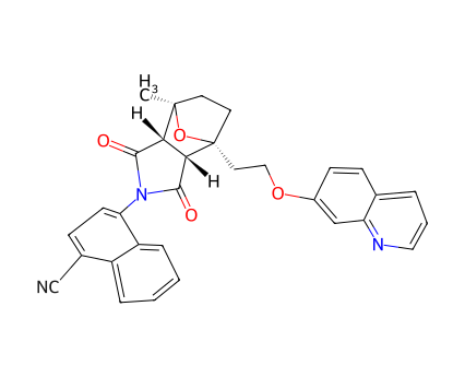 C[C@]12CC[C@](CCOc3ccc4cccnc4c3)(O1)[C@@H]1C(=O)N(c3ccc(C#N)c4ccccc34)C(=O)[C@@H]12